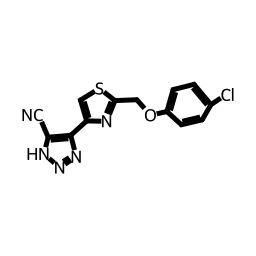 N#Cc1[nH]nnc1-c1csc(COc2ccc(Cl)cc2)n1